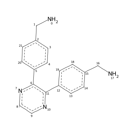 NCc1ccc(-c2n[c]cnc2-c2ccc(CN)cc2)cc1